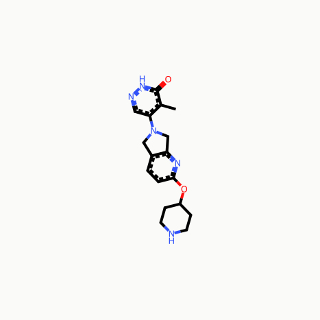 Cc1c(N2Cc3ccc(OC4CCNCC4)nc3C2)cn[nH]c1=O